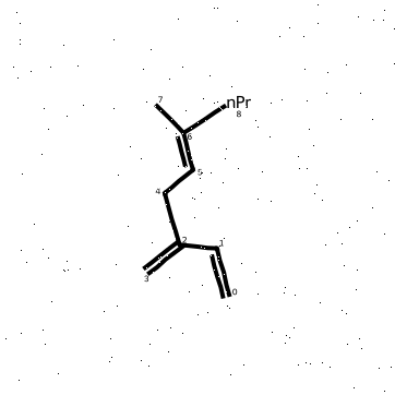 C=CC(=C)CC=C(C)CCC